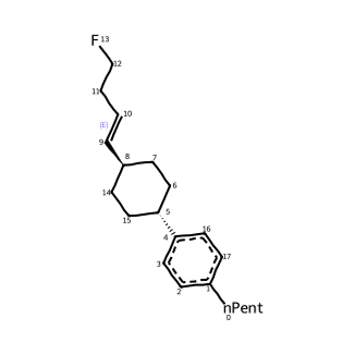 CCCCCc1ccc([C@H]2CC[C@H](/C=C/CCF)CC2)cc1